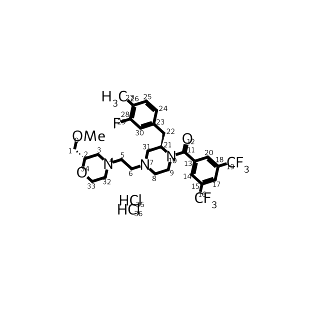 COC[C@@H]1CN(CCN2CCN(C(=O)c3cc(C(F)(F)F)cc(C(F)(F)F)c3)[C@H](Cc3ccc(C)c(F)c3)C2)CCO1.Cl.Cl